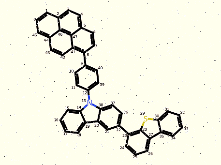 c1cc2ccc3ccc(-c4ccc(-n5c6ccccc6c6cc(-c7cccc8c7sc7ccccc78)ccc65)cc4)c4ccc(c1)c2c34